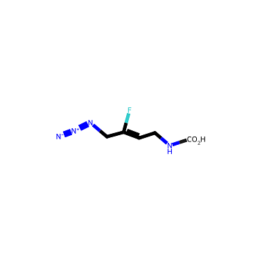 [N-]=[N+]=NCC(F)=CCNC(=O)O